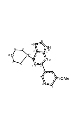 COc1cncc(-c2nc(N3CCOCC3)c3nc[nH]c3n2)c1